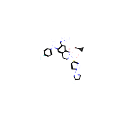 N=CC1=C(Nc2ccc(F)cc2)C=C2CCN([S+]([O-])c3ccc(N4CC[C@@H](F)C4)nc3)C[C@@]2(COCC2CC2)C1